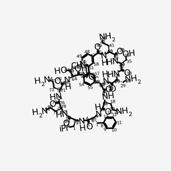 CC(C)C[C@@H]1NC(=O)[C@@H](Cc2ccccc2)NC(=O)[C@H](CCN)NC(=O)[C@@H](NC(=O)[C@@H](CN)NC(=O)[C@H](CO)NC(=O)[C@H](CCN)NC(=O)c2ccnc(-c3ccccc3)c2)CCNC(=O)[C@H]([C@@H](C)O)NC(=O)[C@H](CCN)NC(=O)[C@H](CCN)NC1=O